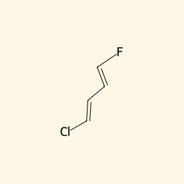 FC=CC=CCl